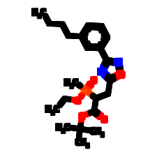 CCCCc1cccc(-c2noc(CC(C(=O)OC(C)(C)C)P(C)(=O)OCC)n2)c1